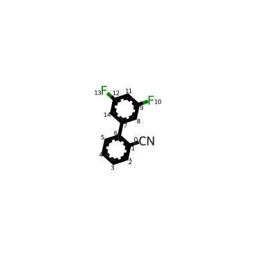 N#Cc1[c]cccc1-c1cc(F)cc(F)c1